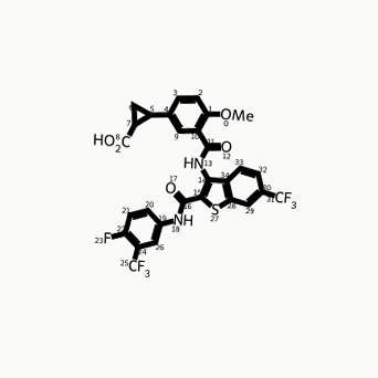 COc1ccc(C2CC2C(=O)O)cc1C(=O)Nc1c(C(=O)Nc2ccc(F)c(C(F)(F)F)c2)sc2cc(C(F)(F)F)ccc12